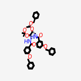 CC1(C)OC[C@H](OCc2ccccc2)O[C@H](CNC(=O)c2cccc(OCc3ccccc3)c2)[C@H](CNC(=O)c2cccc(OCc3ccccc3)c2)O1